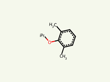 [CH2]C(C)Oc1c(C)cccc1C